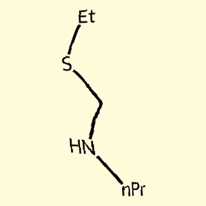 CCCNCSCC